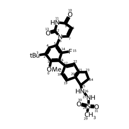 COc1c(C(C)(C)C)cc(-n2ccc(=O)[nH]c2=O)c(F)c1-c1ccc2c(c1)CCC2NNS(C)(=O)=O